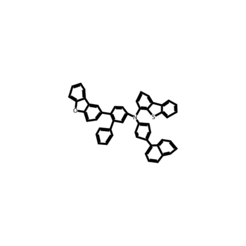 c1ccc(-c2cc(N(c3ccc(-c4cccc5ccccc45)cc3)c3cccc4c3sc3ccccc34)ccc2-c2ccc3oc4ccccc4c3c2)cc1